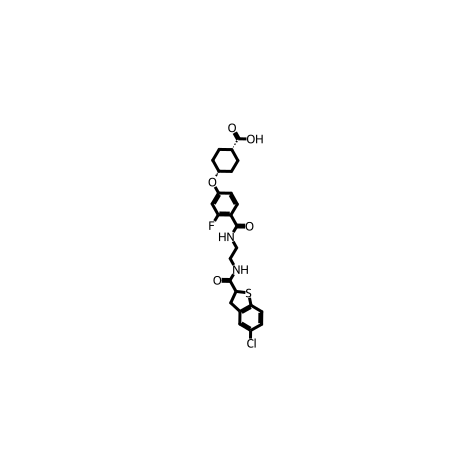 O=C(NCCNC(=O)C1Cc2cc(Cl)ccc2S1)c1ccc(O[C@H]2CC[C@@H](C(=O)O)CC2)cc1F